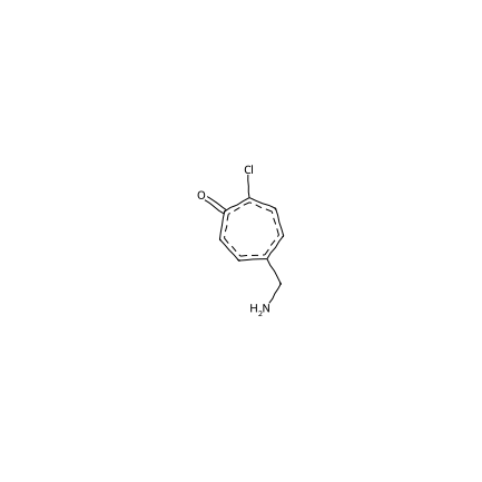 NCc1ccc(Cl)c(=O)cc1